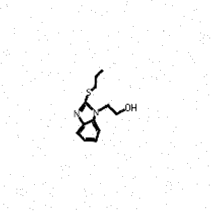 CCCSc1nc2ccccc2n1CCO